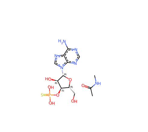 CNC(C)=O.Nc1ncnc2c1ncn2[C@@H]1O[C@H](CO)[C@@H](OP(O)(O)=S)[C@H]1O